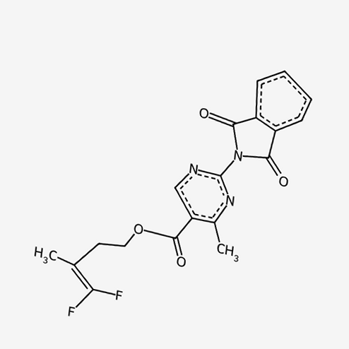 CC(CCOC(=O)c1cnc(N2C(=O)c3ccccc3C2=O)nc1C)=C(F)F